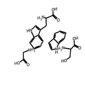 NC(CO)C(=O)O.NC(Cc1c[nH]c2ccccc12)C(=O)O.NCC(=O)O.c1ccc2[nH]ccc2c1